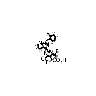 CCC(C(=O)O)c1c(Cl)nc(-c2nn(Cc3ccccc3F)c3ncccc23)nc1C(F)F